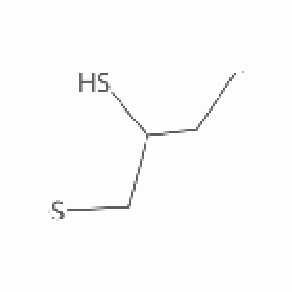 [CH2]CC(S)C[S]